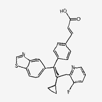 O=C(O)/C=C/c1ccc(/C(=C(\c2ncccc2F)C2CC2)c2ccc3scnc3c2)cc1